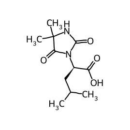 CC(C)C[C@H](C(=O)O)N1C(=O)NC(C)(C)C1=O